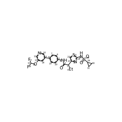 CCC(C(=O)Nc1ccc(-c2cncc(OC(F)F)c2)cc1)c1csc(NS(=O)(=O)C2CC2)n1